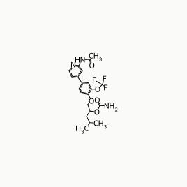 CC(=O)Nc1cc(-c2ccc(OCC(CC(C)C)OC(N)=O)c(OC(F)(F)F)c2)ccn1